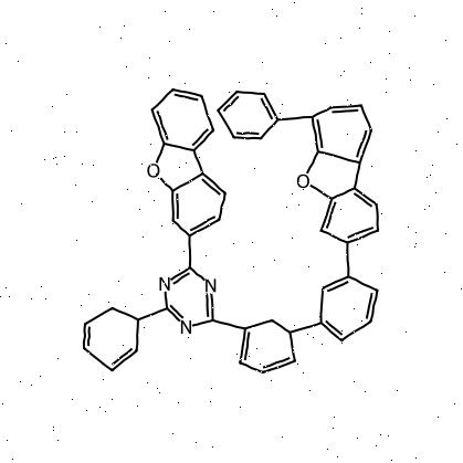 C1=CCC(c2nc(C3=CC=CC(c4cccc(-c5ccc6c(c5)oc5c(-c7ccccc7)cccc56)c4)C3)nc(-c3ccc4c(c3)oc3ccccc34)n2)C=C1